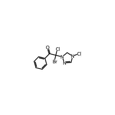 O=C(c1ccccc1)C(Cl)(Br)N1CN(Cl)C=N1